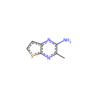 Cc1nc2sccc2nc1N